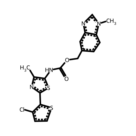 Cc1nc(-c2sccc2Cl)sc1NC(=O)OCc1ccc2c(c1)ncn2C